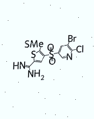 CSc1sc(C(=N)N)cc1S(=O)(=O)c1cnc(Cl)c(Br)c1